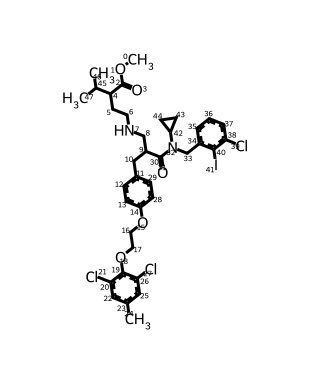 COC(=O)C(CCNCC(Cc1ccc(OCCOc2c(Cl)cc(C)cc2Cl)cc1)C(=O)N(Cc1cccc(Cl)c1I)C1CC1)C(C)C